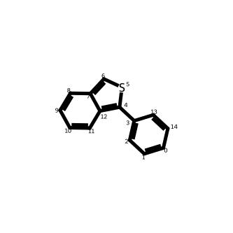 c1ccc(-c2scc3ccccc23)cc1